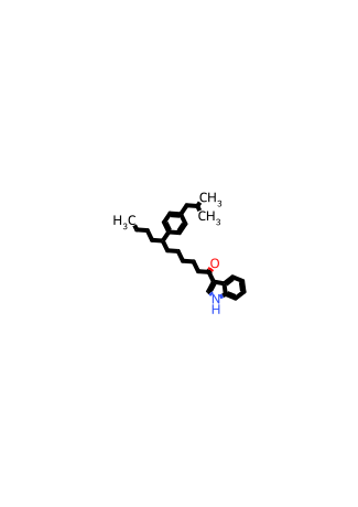 CCCCC(CCCCCC(=O)c1c[nH]c2ccccc12)c1ccc(CC(C)C)cc1